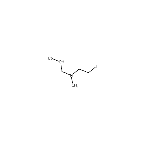 CCPCN(C)CCI